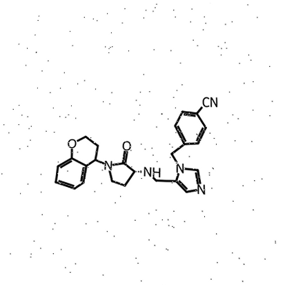 N#Cc1ccc(Cn2cncc2CN[C@@H]2CCN(C3CCOc4ccccc43)C2=O)cc1